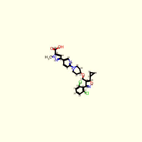 Cn1nc(-c2ccc(N3CCC(OCc4c(-c5c(Cl)cccc5Cl)noc4C4CC4)CC3)nc2)cc1C(=O)O